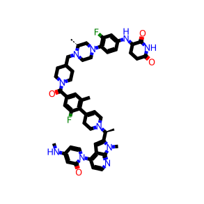 CNc1ccn(-c2ccnc3c2cc([C@H](C)N2CC=C(c4c(C)cc(C(=O)N5CCC(CN6CCN(c7ccc(NC8CCC(=O)NC8=O)cc7F)C[C@H]6C)CC5)cc4F)CC2)n3C)c(=O)c1